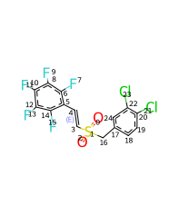 O=S(=O)(/C=C/c1c(F)c(F)c(F)c(F)c1F)Cc1ccc(Cl)c(Cl)c1